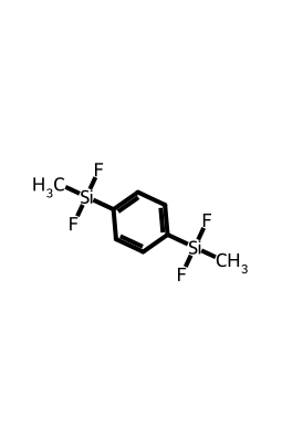 C[Si](F)(F)c1ccc([Si](C)(F)F)cc1